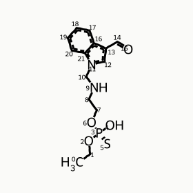 CCOP(O)(=S)OCCNCn1cc(C=O)c2ccccc21